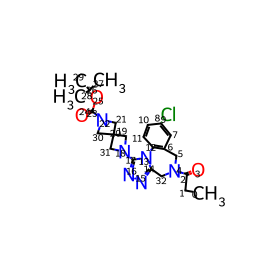 CCC(=O)N1Cc2cc(Cl)ccc2-n2c(nnc2N2CC3(CN(C(=O)OC(C)(C)C)C3)C2)C1